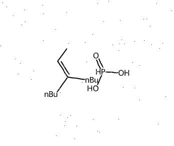 CC=C(CCCC)CCCC.O=[PH](O)O